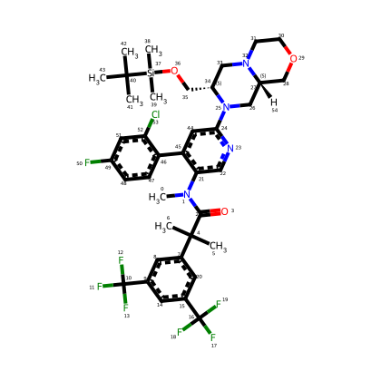 CN(C(=O)C(C)(C)c1cc(C(F)(F)F)cc(C(F)(F)F)c1)c1cnc(N2C[C@H]3COCCN3C[C@H]2CO[Si](C)(C)C(C)(C)C)cc1-c1ccc(F)cc1Cl